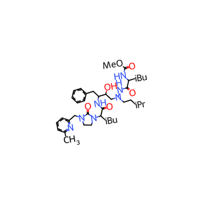 CCC(C)C(NC(=O)OC)C(=O)NN(CCC(C)C)CC(O)C(Cc1ccccc1)NC(=O)C(C(C)CC)N1CCN(Cc2cccc(C)n2)C1=O